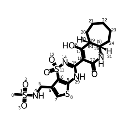 CS(=O)(=O)NCc1csc2c1S(=O)(=O)N=C(C1=C(O)[C@@H]3CCCCC[C@@H]3NC1=O)N2